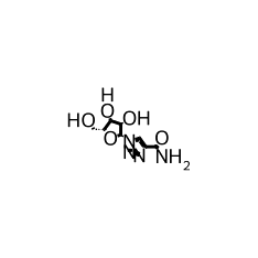 NC(=O)c1cn([C@@H]2O[C@H](CO)C(O)[C@@H]2O)nn1